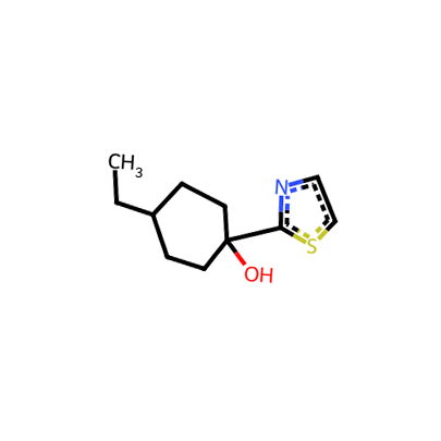 CCC1CCC(O)(c2nccs2)CC1